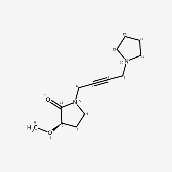 CO[C@@H]1CCN(CC#CCN2CCCC2)C1=O